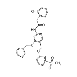 CS(=O)(=O)c1cccc(OCc2ccc(NC(=O)Cc3ccccc3Cl)cc2SCc2ccccc2)c1